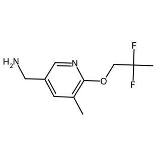 Cc1cc(CN)cnc1OCC(C)(F)F